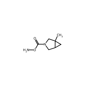 CC12CC1CN(C(=O)ON)C2